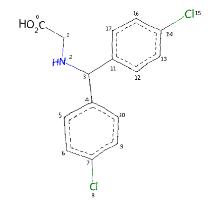 O=C(O)CNC(c1ccc(Cl)cc1)c1ccc(Cl)cc1